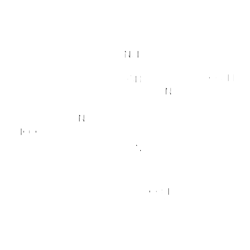 O=C(O)c1cccc(C(O)(c2cccc(C(=O)O)n2)c2cccc(C(=O)O)n2)n1.[NaH]